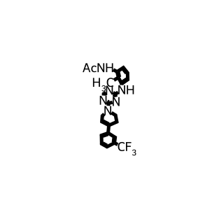 CC(=O)Nc1cccc(Nc2ncnc(N3CC=C(c4cccc(C(F)(F)F)c4)CC3)n2)c1C